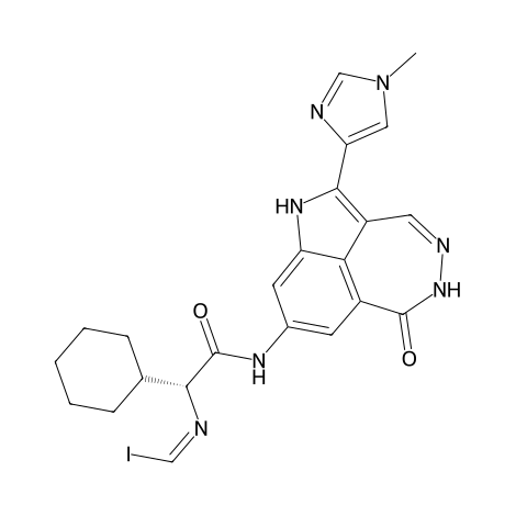 Cn1cnc(-c2[nH]c3cc(NC(=O)[C@H](/N=C\I)C4CCCCC4)cc4c3c2C=NNC4=O)c1